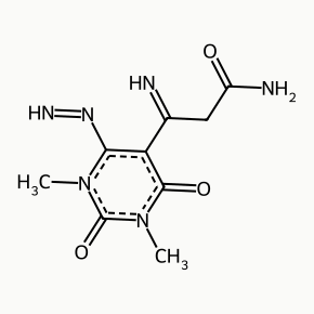 Cn1c(N=N)c(C(=N)CC(N)=O)c(=O)n(C)c1=O